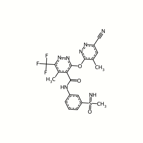 Cc1cc(C#N)nnc1Oc1nnc(C(F)(F)F)c(C)c1C(=O)Nc1cccc(S(C)(=N)=O)c1